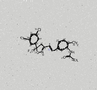 CCC(=O)Nc1cc(/C=C/C2=NOC(c3cc(Cl)cc(Cl)c3)(C(F)(F)F)C2)ccc1C